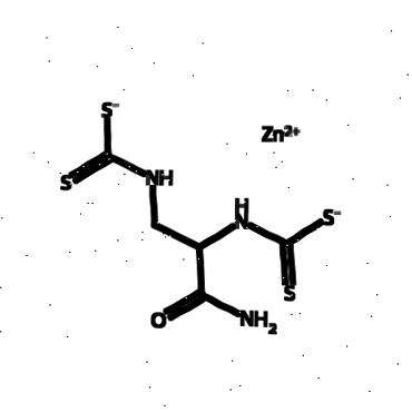 NC(=O)C(CNC(=S)[S-])NC(=S)[S-].[Zn+2]